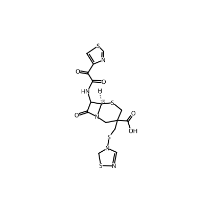 O=C(NC1C(=O)N2CC(CSN3C=NSC3)(C(=O)O)CS[C@H]12)C(=O)c1cscn1